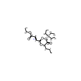 CCCC(OC(=O)/C=C/C(=O)OCC)C(=O)O[Si](CC)(CC)CC